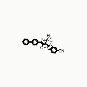 Cn1nc(-c2ccc(-c3ccccc3)cc2)c(O)c1-c1nc2ccc(C#N)cc2[nH]1